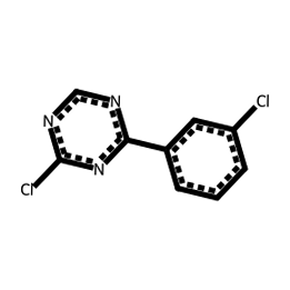 Clc1cccc(-c2ncnc(Cl)n2)c1